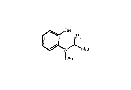 CCCCC(C)N(CCCC)c1ccccc1O